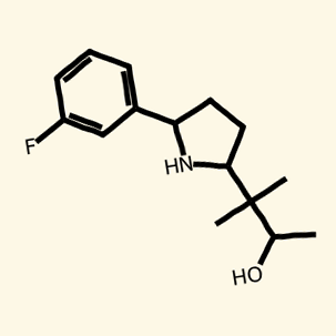 CC(O)C(C)(C)C1CCC(c2cccc(F)c2)N1